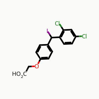 O=C(O)COc1ccc(C(I)c2ccc(Cl)cc2Cl)cc1